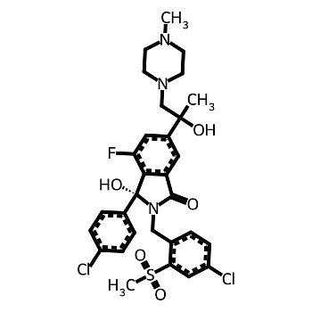 CN1CCN(CC(C)(O)c2cc(F)c3c(c2)C(=O)N(Cc2ccc(Cl)cc2S(C)(=O)=O)[C@@]3(O)c2ccc(Cl)cc2)CC1